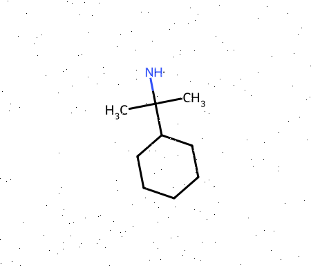 CC(C)([NH])C1CCCCC1